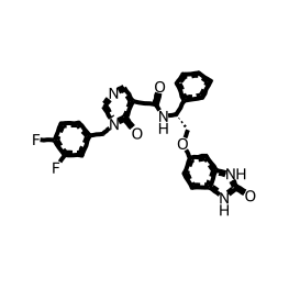 O=C(N[C@@H](COc1ccc2[nH]c(=O)[nH]c2c1)c1ccccc1)c1cncn(Cc2ccc(F)c(F)c2)c1=O